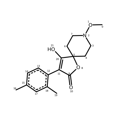 CON1CCC2(CC1)OC(=O)C(c1ccc(C)cc1C)=C2O